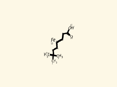 CC(C)(C)CCCCCC(=O)O.[Fe]